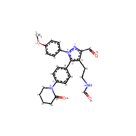 COc1ccc(-n2nc(C=O)c(CCNC=O)c2-c2ccc(N3CCCCC3=O)cc2)cc1